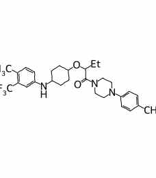 CCC(OC1CCC(Nc2ccc(C)c(C(F)(F)F)c2)CC1)C(=O)N1CCN(c2ccc(C)cc2)CC1